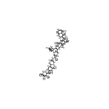 COc1cc(N2CCN(C(=O)CN3CCC(c4ccc(NC5CCC(=O)NC5=O)cc4Cl)CC3)CC2)c(-c2cnn(C)c2)cc1Nc1ncc(Br)c(Nc2ccc3nccnc3c2P(C)C)n1